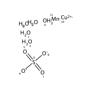 O.O.O.O.O.O=S(=O)([O-])[O-].[Cu+2].[Mn]